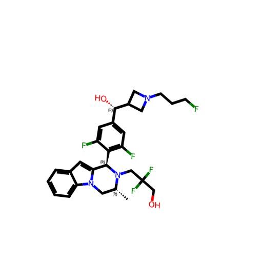 C[C@@H]1Cn2c(cc3ccccc32)[C@@H](c2c(F)cc([C@H](O)C3CN(CCCF)C3)cc2F)N1CC(F)(F)CO